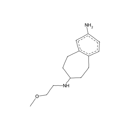 COCCNC1CCc2ccc(N)cc2CC1